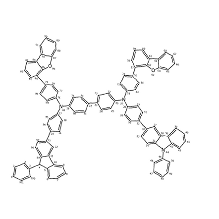 c1ccc(C2c3ccccc3-c3cc(-c4ccc(N(c5ccc(-c6ccc(N(c7ccc(-c8ccc9c(c8)c8ccccc8n9-c8ccccc8)cc7)c7ccc(-c8cccc9c8oc8ccccc89)cc7)cc6)cc5)c5ccc(-c6cccc7c6oc6ccccc67)cc5)cc4)ccc32)cc1